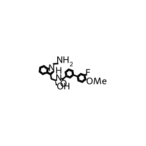 COc1ccc(-c2cccc(C(=O)N[C@@H](CO)Cc3cn(CCN)c4ccccc34)c2)cc1F